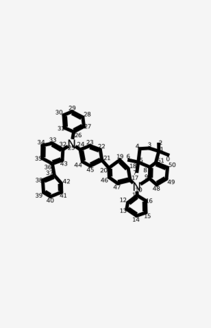 CC1(C)CCC(C)(C)c2c(N(c3ccccc3)c3ccc(-c4ccc(N(c5ccccc5)c5cccc(-c6ccccc6)c5)cc4)cc3)cccc21